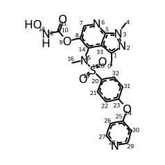 Cc1nn(C)c2ncc(OC(=O)NO)c(N(C)S(=O)(=O)c3ccc(Oc4ccncc4)cc3)c12